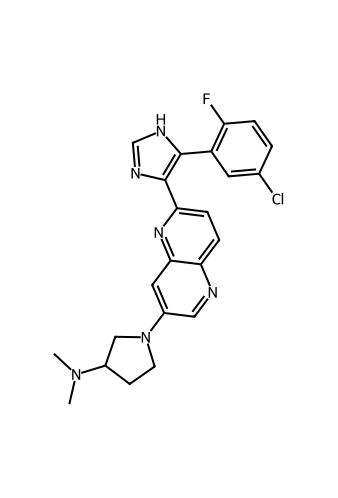 CN(C)C1CCN(c2cnc3ccc(-c4nc[nH]c4-c4cc(Cl)ccc4F)nc3c2)C1